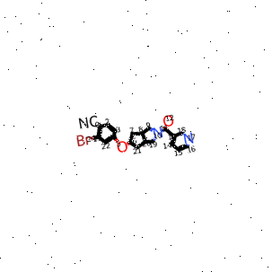 N#Cc1ccc(OC2CC3CN(C(=O)c4cccnc4)CC3C2)cc1Br